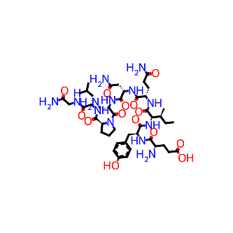 CC[C@H](C)[C@H](NC(=O)[C@H](Cc1ccc(O)cc1)NC(=O)[C@@H](N)CCC(=O)O)C(=O)N[C@@H](CCC(N)=O)C(=O)N[C@@H](CC(N)=O)C(=O)N[C@@H](CN)C(=O)N1CCC[C@H]1C(=O)N[C@@H](CC(C)C)C(=O)NCC(N)=O